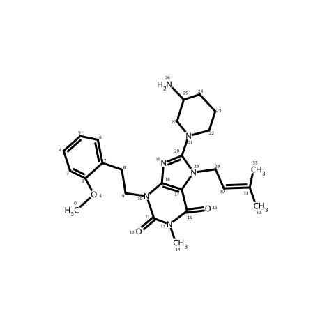 COc1ccccc1CCn1c(=O)n(C)c(=O)c2c1nc(N1CCCC(N)C1)n2CC=C(C)C